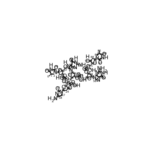 Cc1cn([C@H]2C[C@H](OP(=O)(O)OC[C@H]3O[C@@H](n4ccc(N)nc4=O)C[C@@H]3OP(=O)(O)OC[C@H]3O[C@@H](n4cnc5c(=O)[nH]c(N)nc54)C[C@@H]3OP(=O)(O)OC[C@H]3O[C@@H](n4cnc5c(=O)[nH]c(N)nc54)C[C@@H]3OP(=O)(O)OC[C@H]3O[C@@H](n4cc(C)c(=O)[nH]c4=O)C[C@@H]3O)[C@@H](CO)O2)c(=O)[nH]c1=O